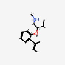 C/C=C(\C)c1ccccc1O[C@H](CC)CNC